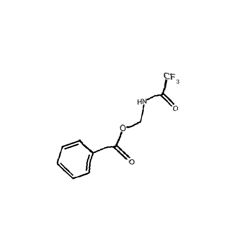 O=C(OCNC(=O)C(F)(F)F)c1ccccc1